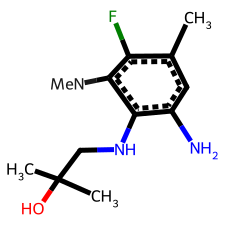 CNc1c(F)c(C)cc(N)c1NCC(C)(C)O